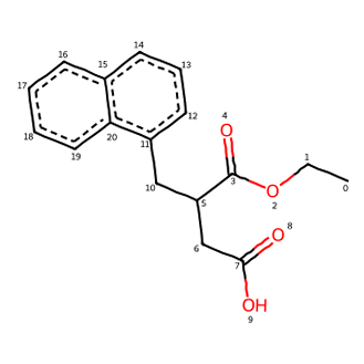 CCOC(=O)C(CC(=O)O)Cc1cccc2ccccc12